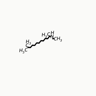 CCNC(C)CCCCCCCCCC(C)C